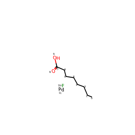 CCCCCCCC(=O)O.[F].[Pd]